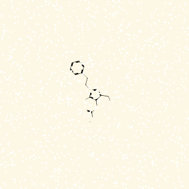 CCc1nn(CCc2ccccc2)c(C)c1OC(=O)OC